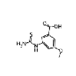 COc1cc(NC(N)=S)cc(C(=O)O)c1